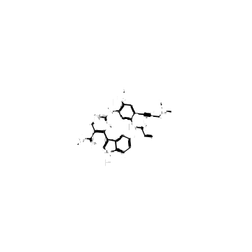 C=CC(=O)Nc1cc(Nc2ncc(C(=O)OC)c(-c3c[nH]c4ccccc34)n2)c(OC)cc1C#CCN(C)C